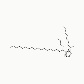 CCCCCCCCCCCCCCCCCC(CCCC)c1nccn1C(C)CCCCCCC